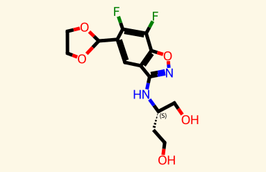 OCC[C@@H](CO)Nc1noc2c(F)c(F)c(C3OCCO3)cc12